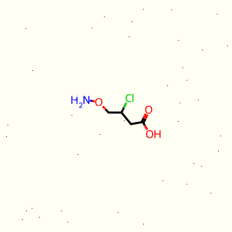 NOCC(Cl)CC(=O)O